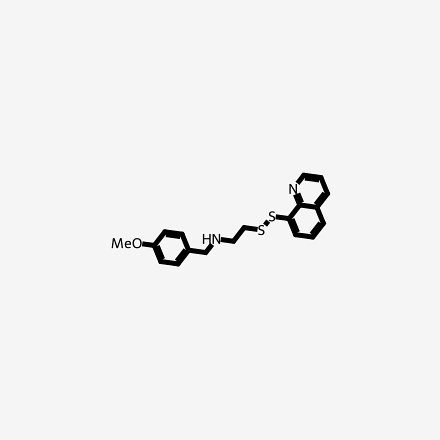 COc1ccc(CNCCSSc2cccc3cccnc23)cc1